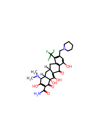 CN(C)[C@@H]1C(O)=C(C(N)=O)C(=O)[C@@]2(O)C(O)=C3C(=O)c4c(O)cc(CN5CCCCC5)c(C(F)(F)F)c4C[C@H]3C[C@@H]12